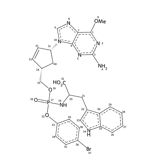 COc1nc(N)nc2c1ncn2[C@H]1C=C[C@@H](COP(=O)(NC(Cc2c[nH]c3ccccc23)C(=O)O)Oc2ccc(Br)cc2)C1